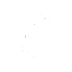 COCC1(COC)C[C@]2(CC[C@@H](C(=O)OC)CC2)NC1=O